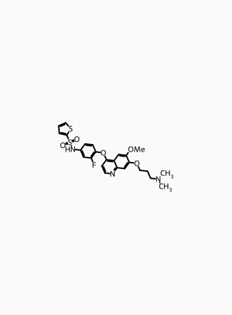 COc1cc2c(Oc3ccc(NS(=O)(=O)c4cccs4)cc3F)ccnc2cc1OCCCN(C)C